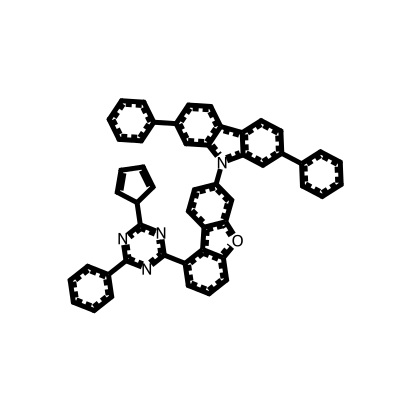 C1=CC(c2nc(-c3ccccc3)nc(-c3cccc4oc5cc(-n6c7cc(-c8ccccc8)ccc7c7ccc(-c8ccccc8)cc76)ccc5c34)n2)C=C1